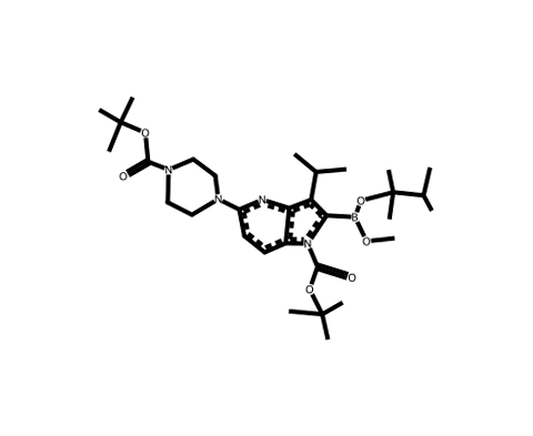 COB(OC(C)(C)C(C)C)c1c(C(C)C)c2nc(N3CCN(C(=O)OC(C)(C)C)CC3)ccc2n1C(=O)OC(C)(C)C